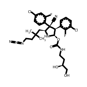 CC(C)(CCN=[N+]=[N-])C[C@@H]1N[C@H](OC(=O)NCC[C@H](O)CO)[C@H](c2cccc(Cl)c2F)[C@@]1(C#N)c1ccc(Cl)cc1F